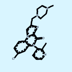 Cc1ncccc1-n1c(=O)c2nc(CN3CCN(C)CC3)cn2c2ccc(Cl)cc21